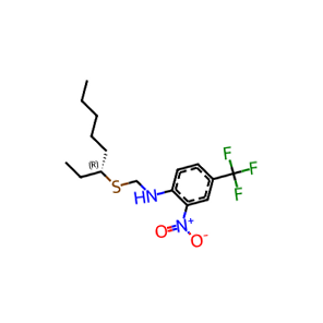 CCCCC[C@@H](CC)SCNc1ccc(C(F)(F)F)cc1[N+](=O)[O-]